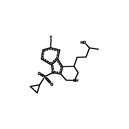 CC(O)CCC1CNCc2c1c1cc(F)ccc1n2S(=O)(=O)C1CC1